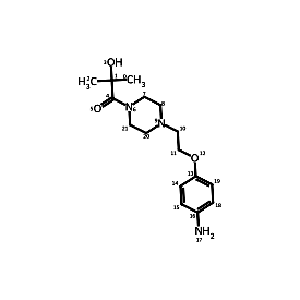 CC(C)(O)C(=O)N1CCN(CCOc2ccc(N)cc2)CC1